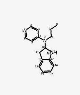 CCCN(c1ccncc1)C1Cc2ccccc2N1